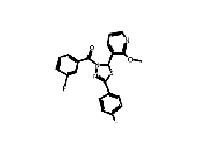 COc1ncccc1C1SC(c2ccc(F)cc2)=NN1C(=O)c1cccc(F)c1